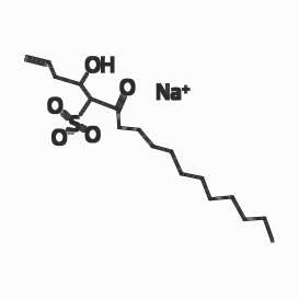 C=CCC(O)C(C(=O)CCCCCCCCCCC)S(=O)(=O)[O-].[Na+]